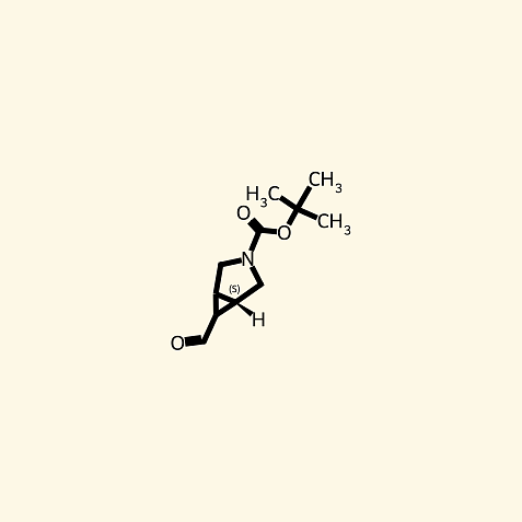 CC(C)(C)OC(=O)N1CC2C(C=O)[C@H]2C1